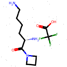 NCCCC[C@H](N)C(=O)N1CCC1.O=C(O)C(F)(F)F